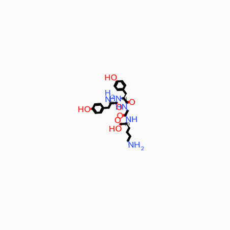 NCCCC[C@H](NC(=O)CNC(=O)[C@H](Cc1ccc(O)cc1)NC(=O)[C@@H](N)Cc1ccc(O)cc1)C(=O)O